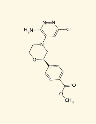 COC(=O)c1ccc([C@@H]2CN(c3cc(Cl)nnc3N)CCO2)cc1